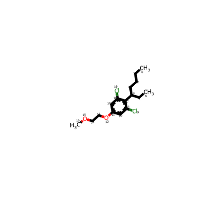 CCCCC(CC)c1c(Cl)cc(OCCOC)cc1Cl